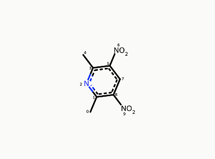 Cc1nc(C)c([N+](=O)[O-])cc1[N+](=O)[O-]